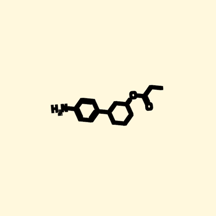 CCC(=O)OC1CCCC(c2ccc(N)cc2)C1